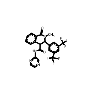 CN1C(=O)c2ccccc2C(C(=O)Nc2cnccn2)C1c1cc(C(F)(F)F)cc(C(F)(F)F)c1